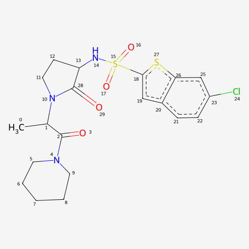 CC(C(=O)N1CCCCC1)N1CCC(NS(=O)(=O)c2cc3ccc(Cl)cc3s2)C1=O